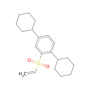 C=CS(=O)(=O)c1cc(C2CCCCC2)ccc1C1CCCCC1